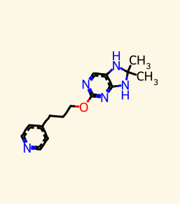 CC1(C)Nc2cnc(OCCCc3ccncc3)nc2N1